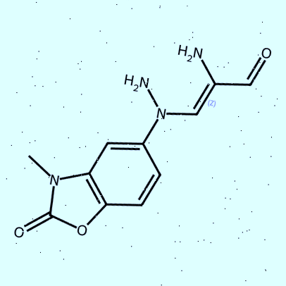 Cn1c(=O)oc2ccc(N(N)/C=C(\N)C=O)cc21